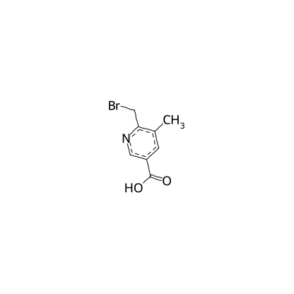 Cc1cc(C(=O)O)cnc1CBr